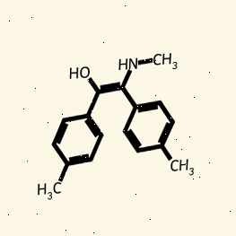 CN/C(=C(\O)c1ccc(C)cc1)c1ccc(C)cc1